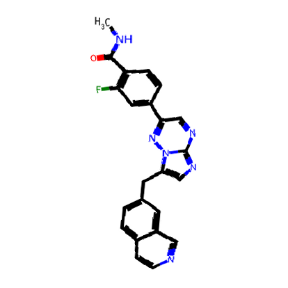 CNC(=O)c1ccc(-c2cnc3ncc(Cc4ccc5ccncc5c4)n3n2)cc1F